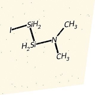 CN(C)[SiH2][SiH2]I